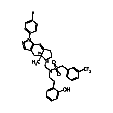 C[C@]12Cc3cnn(-c4ccc(F)cc4)c3C=C1CC[C@@H]2CN(CCc1ccccc1O)S(=O)(=O)Cc1cccc(C(F)(F)F)c1